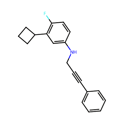 Fc1ccc(NCC#Cc2ccccc2)cc1C1CCC1